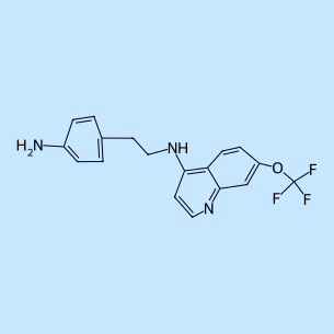 Nc1ccc(CCNc2ccnc3cc(OC(F)(F)F)ccc23)cc1